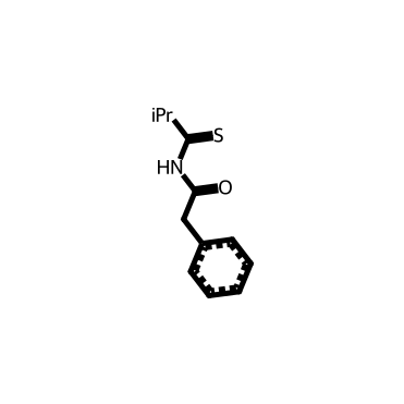 CC(C)C(=S)NC(=O)Cc1ccccc1